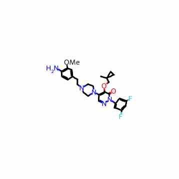 COc1cc(CCN2CCN(c3cnn(-c4cc(F)cc(F)c4)c(=O)c3OCC3(C)CC3)CC2)ccc1N